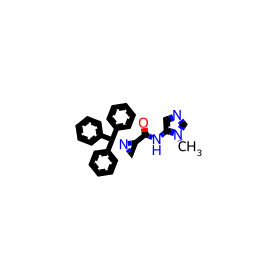 Cn1cncc1NC(=O)C1C[N@@]1C(c1ccccc1)(c1ccccc1)c1ccccc1